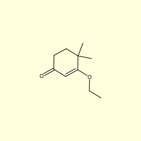 CCOC1=CC(=O)CCC1(C)C